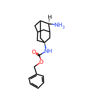 N[C@H]1C2CC3CC1C[C@@](NC(=O)OCc1ccccc1)(C3)C2